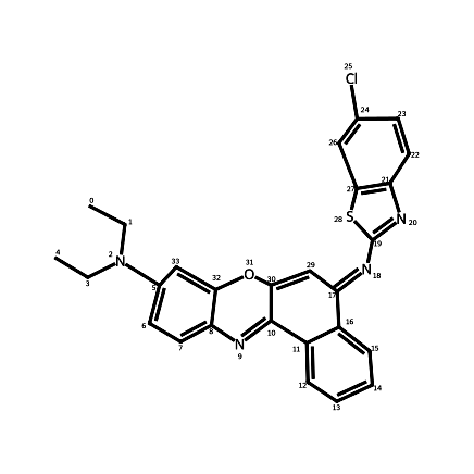 CCN(CC)c1ccc2nc3c4ccccc4c(=Nc4nc5ccc(Cl)cc5s4)cc-3oc2c1